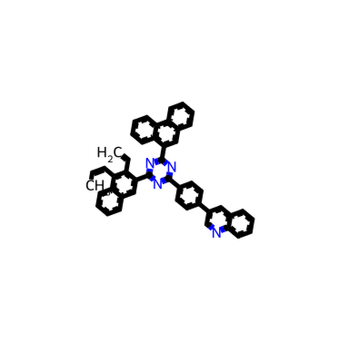 C=Cc1c(-c2nc(-c3ccc(-c4cnc5ccccc5c4)cc3)nc(-c3cc4ccccc4c4ccccc34)n2)cc2ccccc2c1/C=C\C